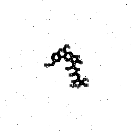 CCc1ccc(C)c(C2C=C3C(=CC2CC)NC(=O)/C3=C(/C)NC(=N)/C=C(\NC)C(C)(C)O)c1